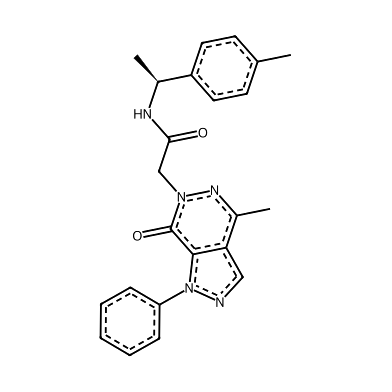 Cc1ccc([C@H](C)NC(=O)Cn2nc(C)c3cnn(-c4ccccc4)c3c2=O)cc1